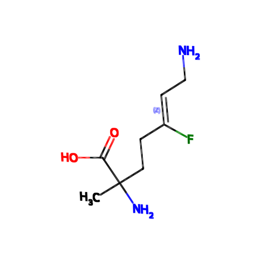 CC(N)(CC/C(F)=C/CN)C(=O)O